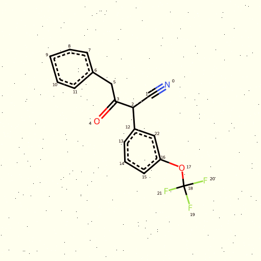 N#CC(C(=O)Cc1ccccc1)c1cccc(OC(F)(F)F)c1